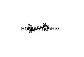 CCCCCCC(O)CC1OC1CCCCCCCC(=O)OC(CC)CO